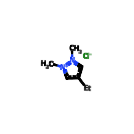 CCc1cn(C)[n+](C)c1.[Cl-]